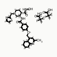 Cc1cc(COc2ccc(C(=O)N[C@@H]3CN(Cc4nccs4)CC[C@@H]3C(=O)NO)cc2)c2ccccc2n1.O=C(O)C(F)(F)F.O=C(O)C(F)(F)F